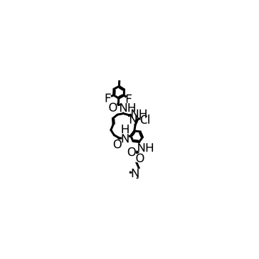 Cc1cc(F)c(C(=O)N[C@H]2C/C=C/CCC(=O)Nc3cc(NC(=O)OCCN(C)C)ccc3-c3nc2[nH]c3Cl)c(F)c1